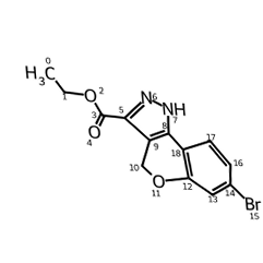 CCOC(=O)c1n[nH]c2c1COc1cc(Br)ccc1-2